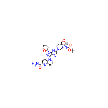 C[C@@H]1CCN(c2nn(C3CCCCO3)c3nc(N4CCC5(CC4)CO[C@@H](C)[C@H]5NC(=O)OC(C)(C)C)cnc23)c2ccc(C(N)=O)nc21